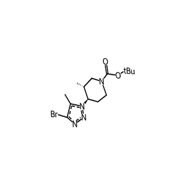 Cc1c(Br)nnn1[C@@H]1CCN(C(=O)OC(C)(C)C)C[C@H]1C